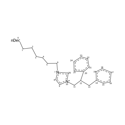 CCCCCCCCCCCCCCCCn1cc[n+](CC(Cc2ccccc2)c2ccccc2)c1